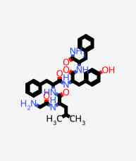 CC(C)CC(NC(=O)CN)C(=O)NC(Cc1ccccc1)C(=O)NC(Cc1ccc(O)cc1)C(=O)NC(Cc1ccccc1)C(N)=O